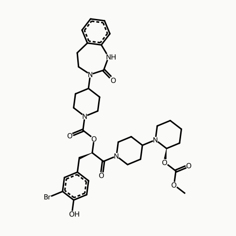 COC(=O)O[C@@H]1CCCCN1C1CCN(C(=O)[C@@H](Cc2ccc(O)c(Br)c2)OC(=O)N2CCC(N3CCc4ccccc4NC3=O)CC2)CC1